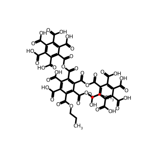 CCCOC(=O)c1c(C(=O)O)c(C(=O)O)c(C(=O)OC(=O)c2c(C(=O)O)c(C(=O)O)c(C(=O)O)c(C(=O)O)c2C(=O)O)c(C(=O)OC(=O)c2c(C(=O)O)c(C(=O)O)c(C(=O)O)c(C(=O)O)c2C(=O)O)c1C(=O)OCCC